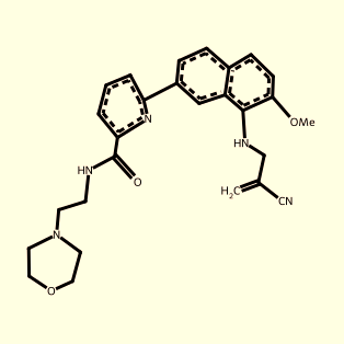 C=C(C#N)CNc1c(OC)ccc2ccc(-c3cccc(C(=O)NCCN4CCOCC4)n3)cc12